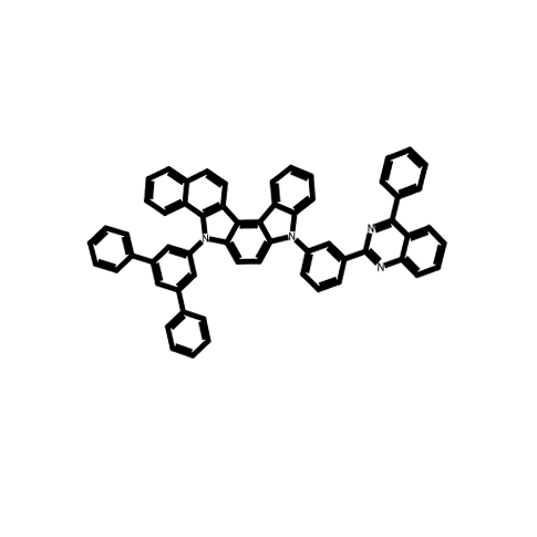 c1ccc(-c2cc(-c3ccccc3)cc(-n3c4ccc5c(c6ccccc6n5-c5cccc(-c6nc(-c7ccccc7)c7ccccc7n6)c5)c4c4ccc5ccccc5c43)c2)cc1